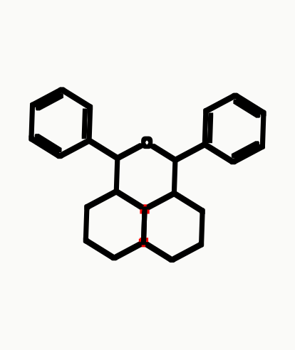 c1ccc(C(OC(c2ccccc2)C2CCCCC2)C2CCCCC2)cc1